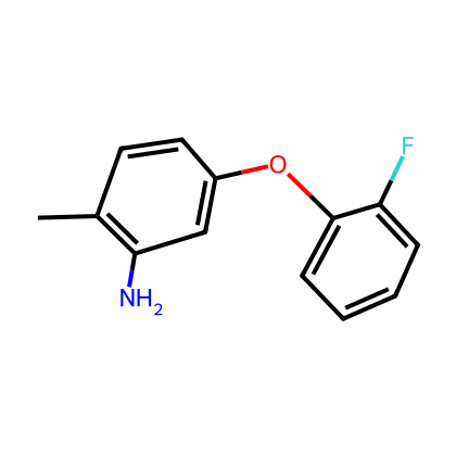 Cc1ccc(Oc2ccccc2F)cc1N